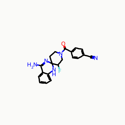 N#Cc1ccc(C(=O)N2CCC3(N=C(N)c4ccccc4N3)C(F)C2)cc1